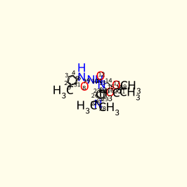 Cc1cccc(NC(=O)NCC(=O)N(CC(=O)OC(C)(C)C)c2ccc(N(C)C)cc2)c1